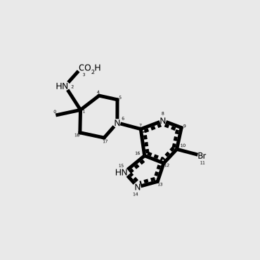 CC1(NC(=O)O)CCN(c2ncc(Br)c3cn[nH]c23)CC1